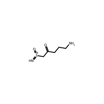 N=[SH](=O)CC(=O)CCCN